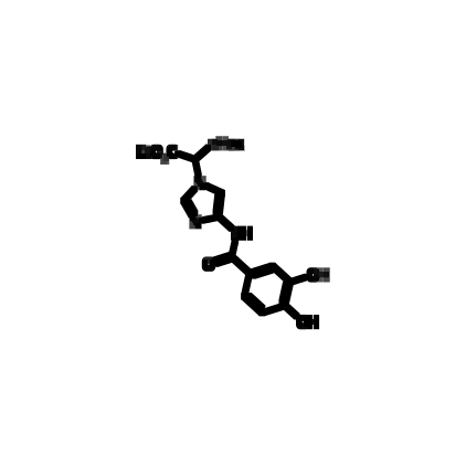 CCCCCCC(C(=O)OCC)n1cnc(NC(=O)c2ccc(O)c(O)c2)c1